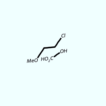 COCCCl.O=C(O)O